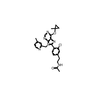 CC(=O)NCCc1ccc(-c2nc3c(OC4(C)CC4)ncnc3n2Cc2cc(C)ccn2)c(Cl)c1